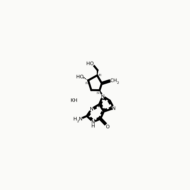 C=C1[C@H](CO)[C@@H](O)C[C@@H]1n1cnc2c(=O)[nH]c(N)nc21.[KH]